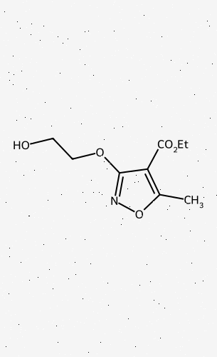 CCOC(=O)c1c(OCCO)noc1C